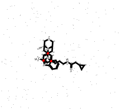 Cc1nc2ccccc2n1C1CC2COC[C@H](C1)N2c1cccc(CCCNC(=O)CC2CC2)c1